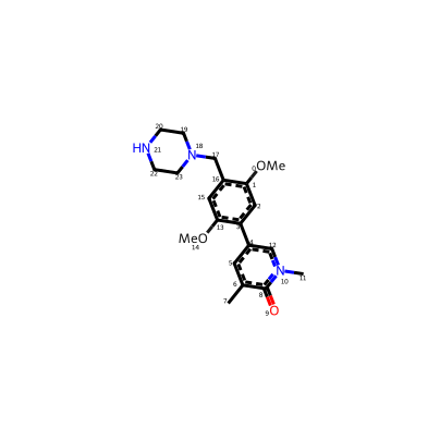 COc1cc(-c2cc(C)c(=O)n(C)c2)c(OC)cc1CN1CCNCC1